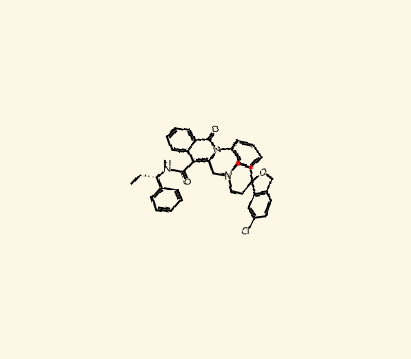 CC[C@H](NC(=O)c1c(CN2CCC3(CC2)OCc2ccc(Cl)cc23)n(-c2ccccc2)c(=O)c2ccccc12)c1ccccc1